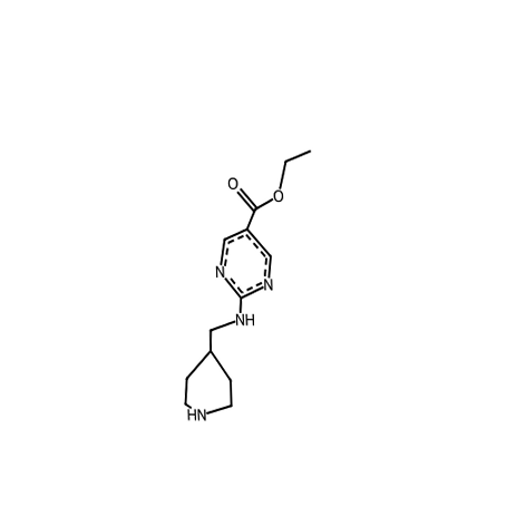 CCOC(=O)c1cnc(NCC2CCNCC2)nc1